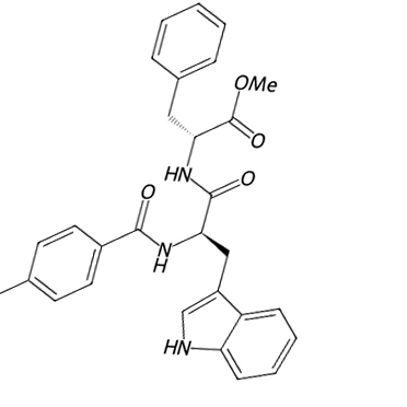 COC(=O)[C@@H](Cc1ccccc1)NC(=O)[C@@H](Cc1c[nH]c2ccccc12)NC(=O)c1ccc(F)cc1